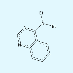 CCN(CC)c1ncnc2ccccc12